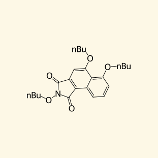 CCCCOc1cccc2c3c(cc(OCCCC)c12)C(=O)N(OCCCC)C3=O